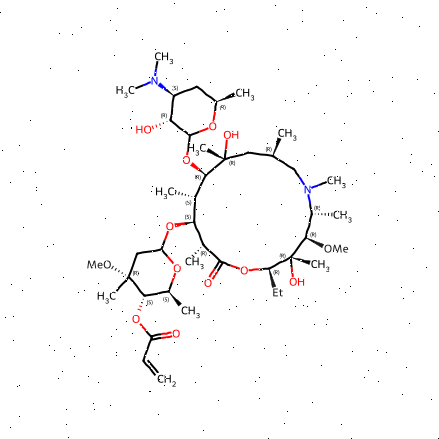 C=CC(=O)O[C@H]1[C@H](C)OC(O[C@H]2[C@H](C)[C@@H](OC3O[C@H](C)C[C@H](N(C)C)[C@H]3O)[C@](C)(O)C[C@@H](C)CN(C)[C@H](C)[C@@H](OC)[C@](C)(O)[C@@H](CC)OC(=O)[C@@H]2C)C[C@@]1(C)OC